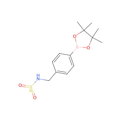 CC1(C)OB(c2ccc(CN[SH](=O)=O)cc2)OC1(C)C